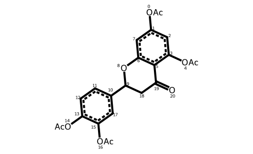 CC(=O)Oc1cc(OC(C)=O)c2c(c1)OC(c1ccc(OC(C)=O)c(OC(C)=O)c1)CC2=O